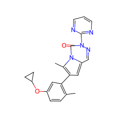 Cc1ccc(OC2CC2)cc1-c1cc2cnn(-c3ncccn3)c(=O)n2c1C